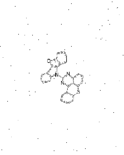 c1ccc2c(c1)Sc1cccc3nc(-n4c5ccccc5c5oc6ccccc6c54)nc-2c13